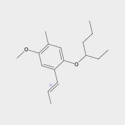 C/C=C/c1cc(OC)c(C)cc1OC(CC)CCC